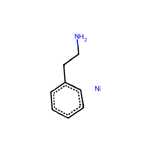 NCCc1ccccc1.[N]